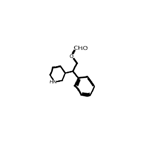 O=COCC(c1ccccc1)C1CCCNC1